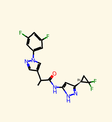 CC(C(=O)Nc1cc([C@H]2CC2(F)F)n[nH]1)c1cnn(-c2cc(F)cc(F)c2)c1